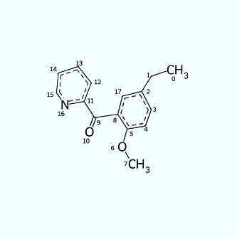 CCc1ccc(OC)c(C(=O)c2ccccn2)c1